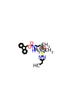 C#CCc1cnc(SC[Si](C)(C)O[Si](C)(C)CCCNC(=O)OCC2c3ccccc3-c3ccccc32)nc1